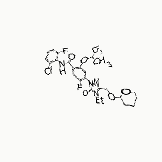 CCn1c(COC2CCCCO2)nn(-c2cc(OC(C)C(F)(F)F)c(C(=O)Nc3c(F)cccc3Cl)cc2F)c1=O